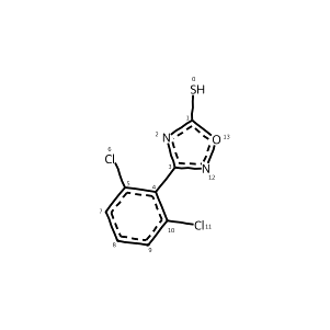 Sc1nc(-c2c(Cl)cccc2Cl)no1